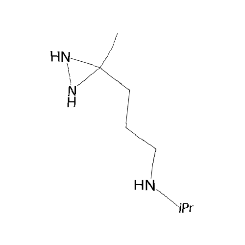 CC(C)NCCCC1(C)NN1